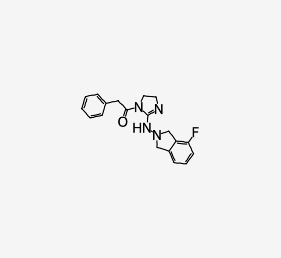 O=C(Cc1ccccc1)N1CCN=C1NN1Cc2cccc(F)c2C1